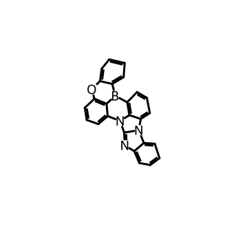 c1ccc2c(c1)Oc1cccc3c1B2c1cccc2c1n-3c1nc3ccccc3n21